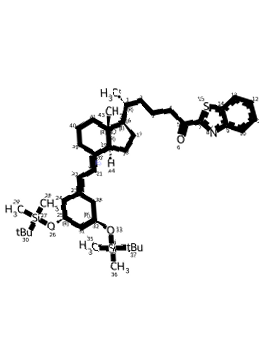 C[C@H](CCCC(=O)c1nc2ccccc2s1)[C@H]1CC[C@H]2/C(=C/C=C3C[C@@H](O[Si](C)(C)C(C)(C)C)C[C@H](O[Si](C)(C)C(C)(C)C)C3)CCC[C@]12C